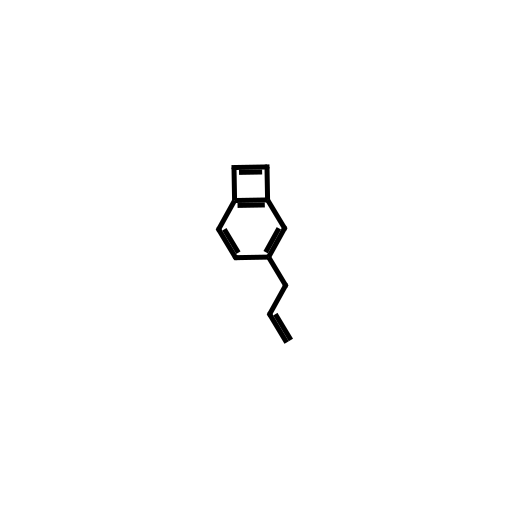 C=CCc1ccc2c(c1)C=C2